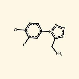 NCc1nnnn1-c1ccc(Cl)c(F)c1